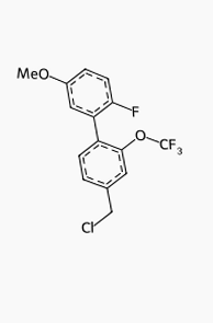 COc1ccc(F)c(-c2ccc(CCl)cc2OC(F)(F)F)c1